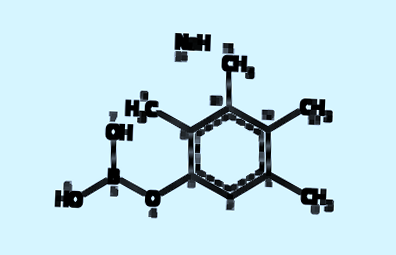 Cc1cc(OB(O)O)c(C)c(C)c1C.[NaH]